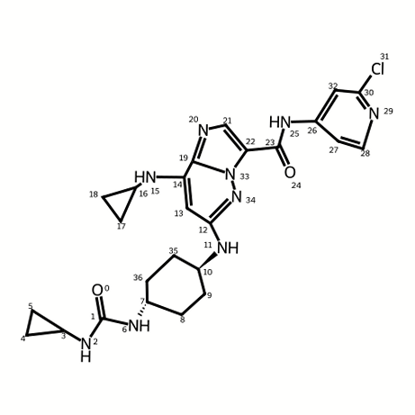 O=C(NC1CC1)N[C@H]1CC[C@H](Nc2cc(NC3CC3)c3ncc(C(=O)Nc4ccnc(Cl)c4)n3n2)CC1